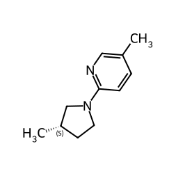 Cc1ccc(N2CC[C@H](C)C2)nc1